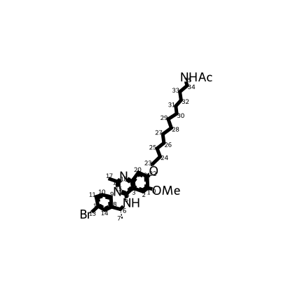 COc1cc2c(N[C@H](C)c3cccc(Br)c3)nc(C)nc2cc1OCCCCCCCCCCCCNC(C)=O